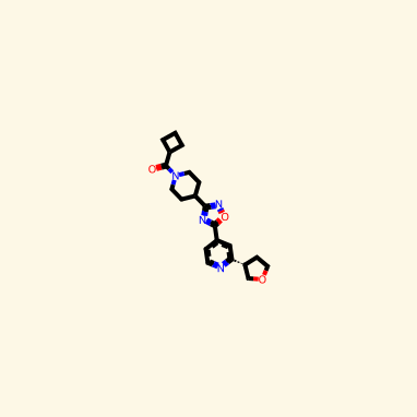 O=C(C1CCC1)N1CCC(c2noc(-c3ccnc([C@@H]4CCOC4)c3)n2)CC1